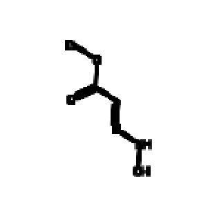 CCOC(=O)C=NNO